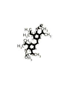 CC(C)c1cc(Cc2cc(C(C)C)c(N=C=O)c(C(C)C)c2)cc(C(C)C)c1N=C=O